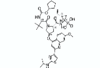 C=C[C@@H]1C[C@]1(NC(=O)[C@@H]1C[C@@H](Oc2cc(-c3csc(NC(C)C)n3)nc3cc(OC)ccc23)CN1C(=O)[C@@H](NC(=O)OC1CCCC1)C(C)(C)C)P(=O)(O)O